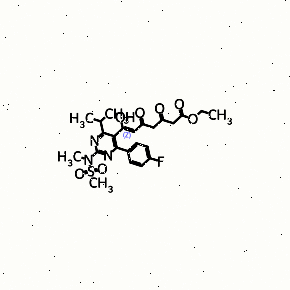 CCOC(=O)CC(=O)CC(=O)/C=C(\O)c1c(-c2ccc(F)cc2)nc(N(C)S(C)(=O)=O)nc1C(C)C